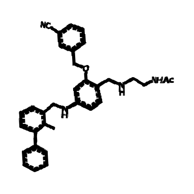 CC(=O)NCCNCc1ccc(NCc2cccc(-c3ccccc3)c2C)cc1OCc1cccc(C#N)c1